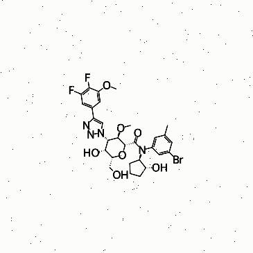 COc1cc(-c2cn([C@H]3[C@@H](O)[C@@H](CO)O[C@@H](C(=O)N(c4cc(C)cc(Br)c4)[C@@H]4CCC[C@H]4O)[C@@H]3OC)nn2)cc(F)c1F